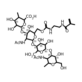 C=C(C)C(=O)NCCNC(=O)OCC1O[C@@H](O[C@@H]2C(C(=O)O)O[C@@H](O[C@@H]3C(NC(C)=O)C(C)OC(CO)[C@H]3O)C(O)[C@H]2O)C(NC(C)=O)[C@@H](O[C@@H]2OC(C(=O)O)C(C)[C@H](O)C2O)[C@@H]1O